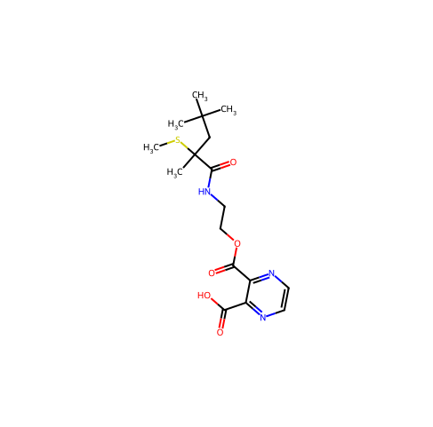 CSC(C)(CC(C)(C)C)C(=O)NCCOC(=O)c1nccnc1C(=O)O